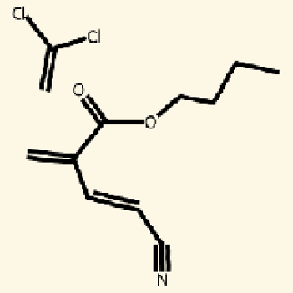 C=C(C=CC#N)C(=O)OCCCC.C=C(Cl)Cl